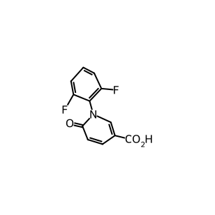 O=C(O)c1ccc(=O)n(-c2c(F)cccc2F)c1